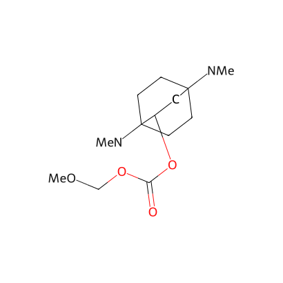 CNC12CCC(NC)(CC1)C(OC(=O)OCOC)C2